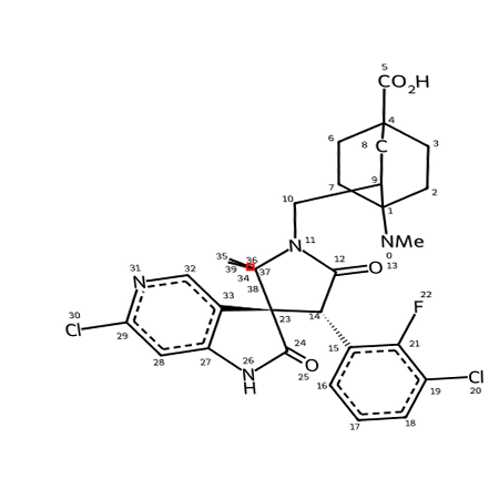 CNC12CCC(C(=O)O)(CC1)CC2CN1C(=O)[C@H](c2cccc(Cl)c2F)[C@]2(C(=O)Nc3cc(Cl)ncc32)C12CCCCC2